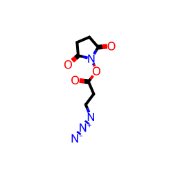 [N-]=[N+]=NCCC(=O)ON1C(=O)CCC1=O